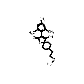 COCCC1CCC2(CC1)OC(=O)C(c1c(C)cc(C)cc1C)=C2O